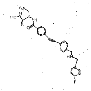 NC[C@H](NC(=O)c1ccc(C#Cc2ccc(CNCc3ccc(F)cc3)cc2)cc1)C(=O)NO